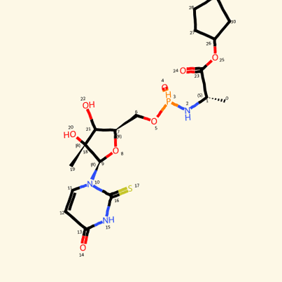 C[C@H](N[PH](=O)OC[C@H]1O[C@@H](n2ccc(=O)[nH]c2=S)[C@](C)(O)C1O)C(=O)OC1CCCC1